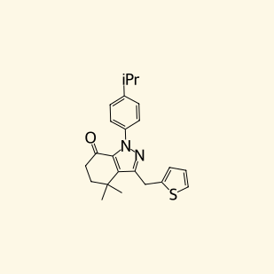 CC(C)c1ccc(-n2nc(Cc3cccs3)c3c2C(=O)CCC3(C)C)cc1